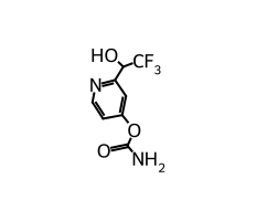 NC(=O)Oc1ccnc(C(O)C(F)(F)F)c1